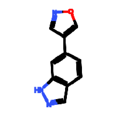 c1cc2cn[nH]c2cc1-c1cnoc1